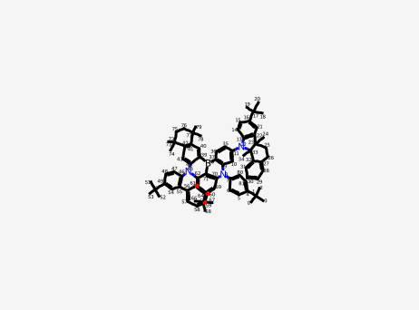 CC(C)(C)c1ccc(N2c3cc(N4c5ccc(C(C)(C)C)cc5C5(C)CCc6ccccc6C45C)ccc3B3c4cc5c(cc4N(c4ccc(C(C)(C)C)cc4-c4ccccc4)c4cc(C(C)(C)C)cc2c43)C(C)(C)CCC5(C)C)cc1